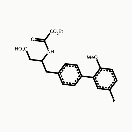 CCOC(=O)C(=O)NC(CC(=O)O)Cc1ccc(-c2cc(F)ccc2OC)cc1